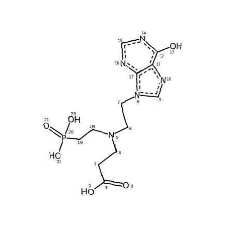 O=C(O)CCN(CCn1cnc2c(O)ncnc21)CCP(=O)(O)O